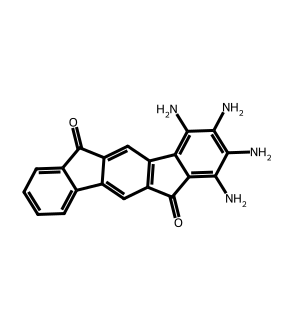 Nc1c(N)c(N)c2c(c1N)c(=O)c1cc3c(cc12)c(=O)c1ccccc13